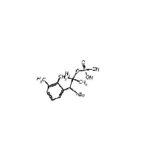 CCCCC(c1cccc(C)c1C)C(C)(C)OP(=O)(O)O